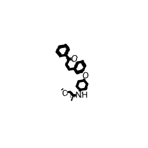 COC[C@H](C)NC1CCC(Oc2ccc3c(c2)CCC(c2ccccc2)O3)CC1